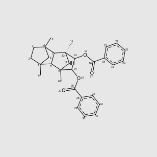 CC12CCC(C)(C1)C1C2C2(C)N[C@]1(C)C(OC(=O)c1ccccc1)C2OC(=O)c1ccccc1